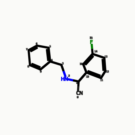 N#CC(NCc1ccccc1)c1cccc(F)c1